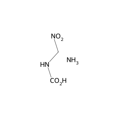 N.O=C(O)NC[N+](=O)[O-]